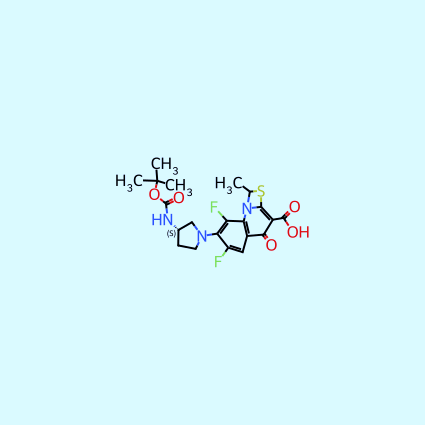 CC1Sc2c(C(=O)O)c(=O)c3cc(F)c(N4CC[C@H](NC(=O)OC(C)(C)C)C4)c(F)c3n21